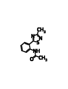 CC(=O)Nc1ccccc1-c1nc(C)ns1